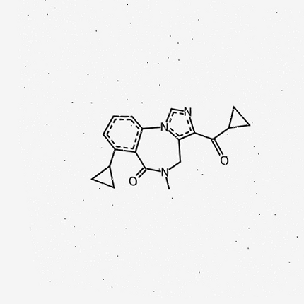 CN1Cc2c(C(=O)C3CC3)ncn2-c2cccc(C3CC3)c2C1=O